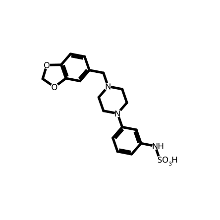 O=S(=O)(O)Nc1cccc(N2CCN(Cc3ccc4c(c3)OCO4)CC2)c1